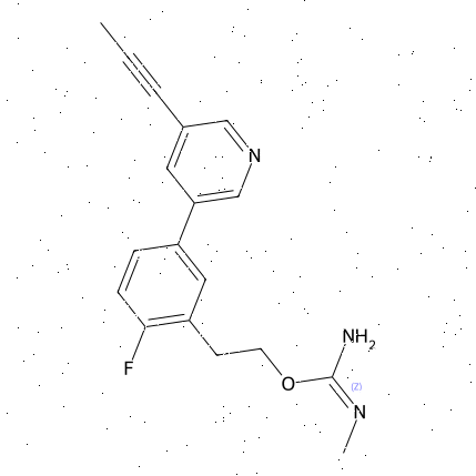 CC#Cc1cncc(-c2ccc(F)c(CCO/C(N)=N\C)c2)c1